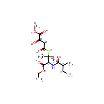 CCOC(=O)C(NC(=O)C(C)CC)C(C)(C)SC(=O)CC(=O)C(=O)OC